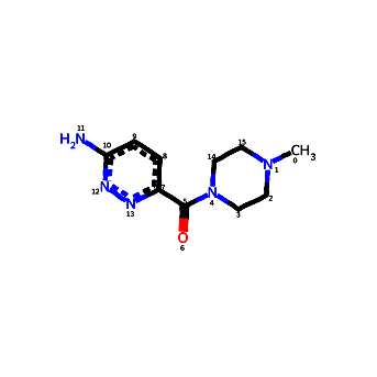 CN1CCN(C(=O)c2ccc(N)nn2)CC1